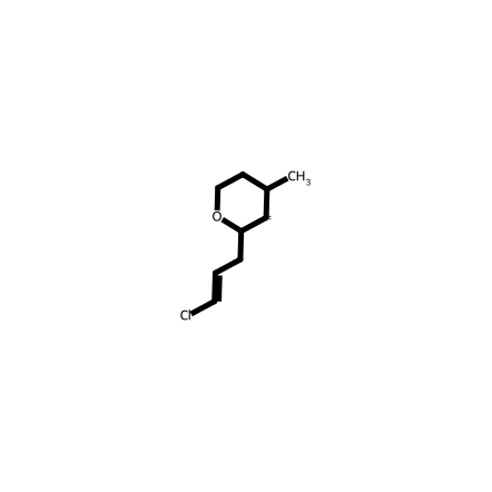 CC1[C]C(CC=CCl)OCC1